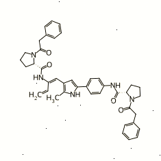 C=C/C(=C\c1cc(-c2ccc(NC(=O)[C@@H]3CCCN3C(=O)Cc3ccccc3)cc2)[nH]c1C)NC(=O)[C@@H]1CCCN1C(=O)Cc1ccccc1